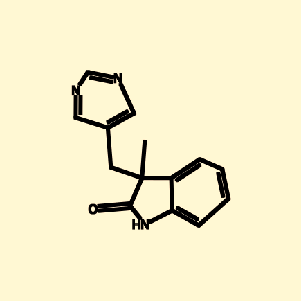 CC1(Cc2cncnc2)C(=O)Nc2ccccc21